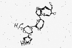 C[C@H]1CN(c2nccc(-c3cnc4cc(F)c(Cl)cn34)n2)C[C@@H](c2cn[nH]c2)O1